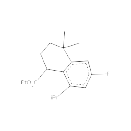 CCOC(=O)C1CCC(C)(C)c2cc(F)cc(C(C)C)c21